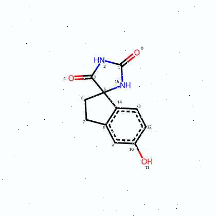 O=C1NC(=O)C2(CCc3cc(O)ccc32)N1